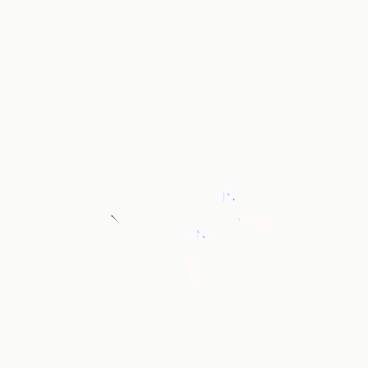 C[C@H](NC(=O)[C@@H]1CC[C@@H](Cc2ccccc2)C1)C(=O)NCc1cc2c(s1)CCC2